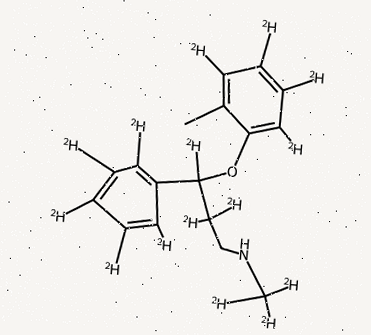 [2H]c1c([2H])c([2H])c(C([2H])(Oc2c([2H])c([2H])c([2H])c([2H])c2C)C([2H])([2H])CNC([2H])([2H])[2H])c([2H])c1[2H]